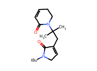 CC(C)(C)N1CC=C(CC(C)(C)N2CCC=CC2=O)C1=O